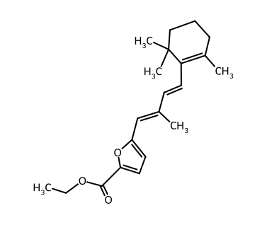 CCOC(=O)c1ccc(/C=C(\C)C=CC2=C(C)CCCC2(C)C)o1